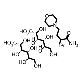 CCCC(CCN1CCOCC1)C(N)=O.O=C(O)[C@H](O)[C@@H](O)[C@H](O)[C@H](O)CO.O=C(O)[C@H](O)[C@@H](O)[C@H](O)[C@H](O)CO